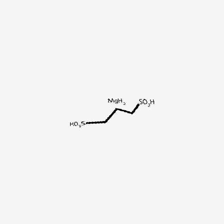 O=S(=O)(O)CCCS(=O)(=O)O.[MgH2]